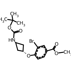 COC(=O)c1ccc(O[C@H]2C[C@H](NC(=O)OC(C)(C)C)C2)c(Br)c1